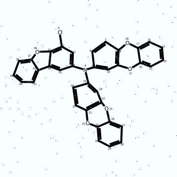 Clc1cc(N(c2ccc3c(c2)Oc2ccccc2O3)c2ccc3c(c2)Oc2ccccc2O3)cc2c1oc1ccccc12